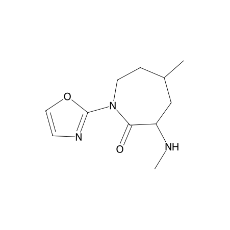 CNC1CC(C)CCN(c2ncco2)C1=O